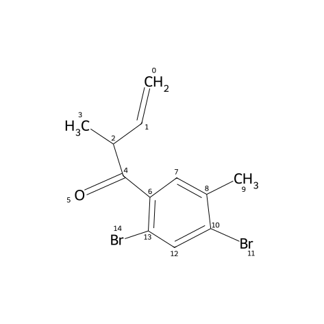 C=CC(C)C(=O)c1cc(C)c(Br)cc1Br